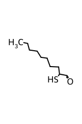 CCCCCCCCC(S)C=O